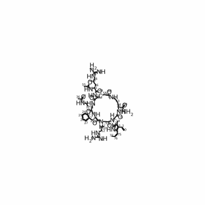 C=Cc1c(C[C@@H]2NC(O)[C@H](CCCNC(=N)N)NC(=O)[C@@H](Cc3ccccc3)NC(=O)[C@H](CCNC(C)=O)NC(=O)[C@@H](NC(=O)[C@H](CCCNC(=N)N)NC(C)=O)CCC(=O)NCCC[C@@H](C(N)=O)NC2=O)c[nH]c1/C=C\C